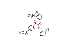 O=C(O)c1ccc(C(=O)/C(=C\c2ccc(Br)c([N+](=O)[O-])c2)SCc2ccccc2Cl)cc1